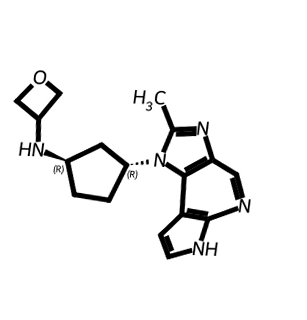 Cc1nc2cnc3[nH]ccc3c2n1[C@@H]1CC[C@@H](NC2COC2)C1